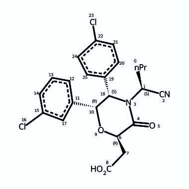 CCC[C@@H](C#N)N1C(=O)[C@@H](CC(=O)O)O[C@H](c2cccc(Cl)c2)[C@@H]1c1ccc(Cl)cc1